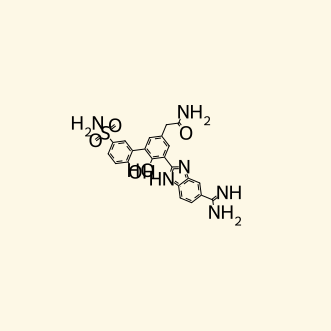 N=C(N)c1ccc2[nH]c(-c3cc(CC(N)=O)cc(-c4cc(S(N)(=O)=O)ccc4O)c3O)nc2c1